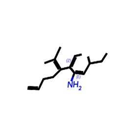 C=CCCC(=C(C)C)C(=C/C)/C(N)=C\C(C)CC